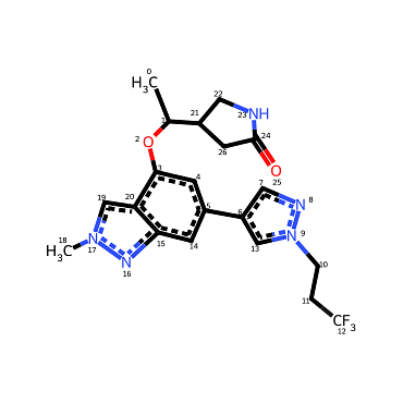 CC(Oc1cc(-c2cnn(CCC(F)(F)F)c2)cc2nn(C)cc12)C1CNC(=O)C1